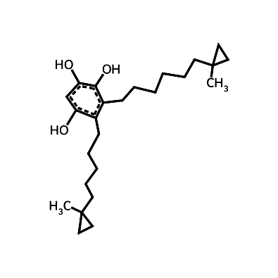 CC1(CCCCCCc2c(O)c(O)cc(O)c2CCCCCC2(C)CC2)CC1